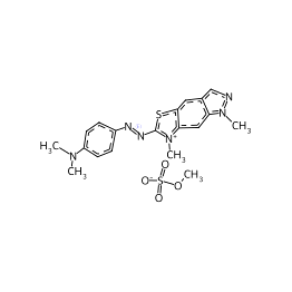 CN(C)c1ccc(/N=N/c2sc3cc4cnn(C)c4cc3[n+]2C)cc1.COS(=O)(=O)[O-]